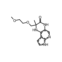 COCCOCC1(C)Nc2c(cnc3[nH]ccc23)NC1=O